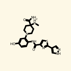 CNC1(C(N)=O)CCN(c2cc(O)ccc2NC(=O)c2csc(-c3cn[nH]c3)n2)CC1